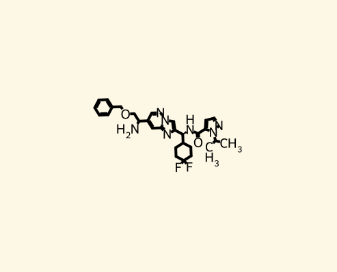 CC(C)n1nccc1C(=O)N[C@H](c1cn2ncc(C(N)COCc3ccccc3)cc2n1)C1CCC(F)(F)CC1